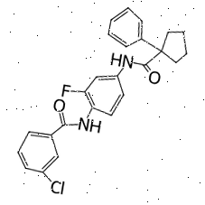 O=C(Nc1ccc(NC(=O)C2(c3ccccc3)CCCC2)cc1F)c1cccc(Cl)c1